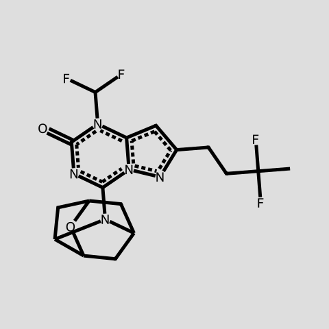 CC(F)(F)CCc1cc2n(C(F)F)c(=O)nc(N3C4CC5CC3C(C4)O5)n2n1